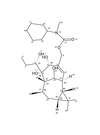 CC[C@H](O)[C@@]1(O)[C@H](O)C(COC(=O)N(C)C2CCCCC2)=C[C@@H]2C(O)[C@]1(C)[C@H](C)C[C@@H]1[C@H]2C1(C)C